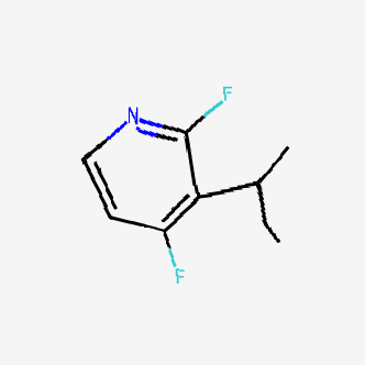 CC(C)c1c(F)ccnc1F